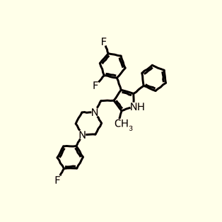 Cc1[nH]c(-c2ccccc2)c(-c2ccc(F)cc2F)c1CN1CCN(c2ccc(F)cc2)CC1